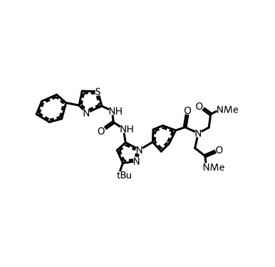 CNC(=O)CN(CC(=O)NC)C(=O)c1ccc(-n2nc(C(C)(C)C)cc2NC(=O)Nc2nc(-c3ccccc3)cs2)cc1